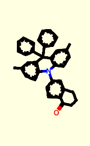 Cc1ccc2c(c1)C(c1ccccc1)(c1ccccc1)c1cc(C)ccc1N2c1ccc2c(c1)CCCC2=O